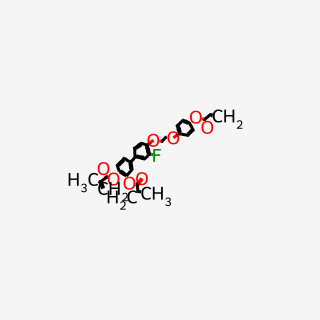 C=CC(=O)Oc1ccc(OCCOc2ccc(-c3ccc(OC(=O)C(=C)C)c(OC(=O)C(=C)C)c3)cc2F)cc1